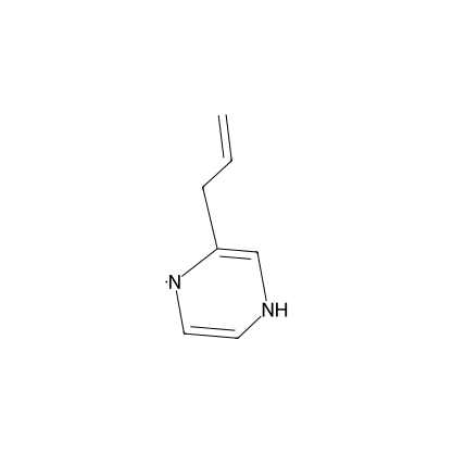 C=CCC1=CNC=C[N]1